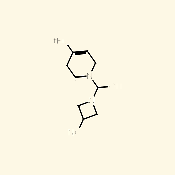 CC(C)(C)C1=CCN(C(O)N2CC(C#N)C2)CC1